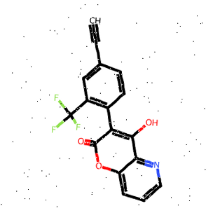 C#Cc1ccc(-c2c(O)c3ncccc3oc2=O)c(C(F)(F)F)c1